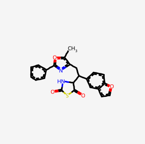 Cc1oc(-c2ccccc2)nc1CC(c1ccc2occc2c1)C1NC(=O)SC1=O